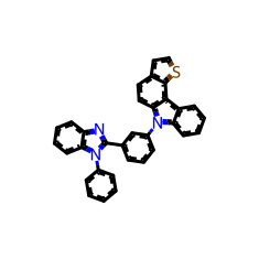 c1ccc(-n2c(-c3cccc(-n4c5ccccc5c5c6sccc6ccc54)c3)nc3ccccc32)cc1